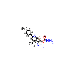 CC(C)c1ccc(-c2cc(C(F)(F)F)c3c(N)c(OC(N)=O)sc3n2)cc1